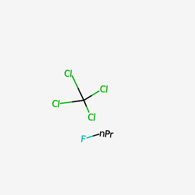 CCCF.ClC(Cl)(Cl)Cl